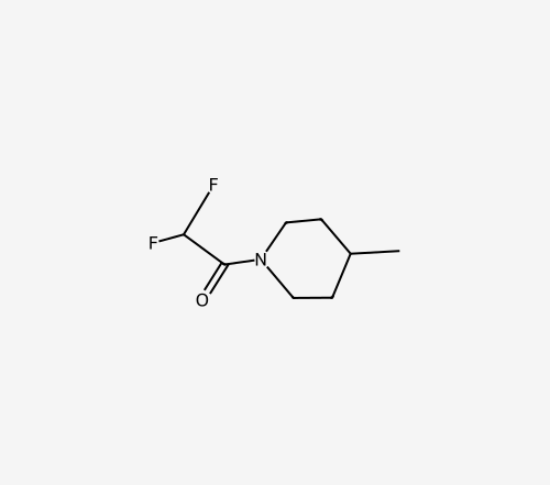 CC1CCN(C(=O)C(F)F)CC1